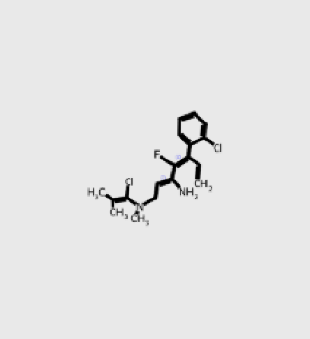 C=C/C(=C(F)\C(N)=C\CN(C)C(Cl)=C(C)C)c1ccccc1Cl